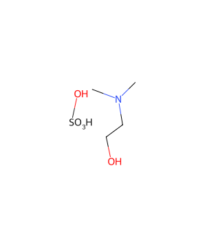 CN(C)CCO.O=S(=O)(O)O